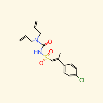 C=CCN(CC=C)C(=O)NS(=O)(=O)C=C(C)c1ccc(Cl)cc1